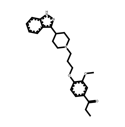 CCC(=O)c1ccc(OCCCN2CCC(c3n[nH]c4ccccc34)CC2)c(OC)c1